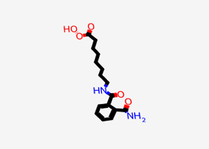 NC(=O)c1ccccc1C(=O)NCCCCCCCC(=O)OO